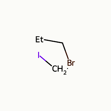 [CH2]CCBr.[CH2]I